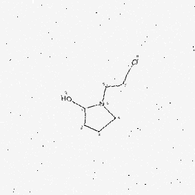 OC1CCCN1CCCl